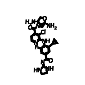 N[C@]12CN(C(=O)c3ccnc(Nc4c(F)cc(C(=O)N=C5NCCN5)cc4C4CC4)c3Cl)[C@](N)(CO1)C2